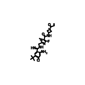 C=CC(=O)N1CC(NC(=O)c2c(F)nc(CNC(=N)c3cc(C(C)(C)C)c(Cl)cc3N)n2C)C1